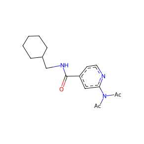 CC(=O)N(C(C)=O)c1cc(C(=O)NCC2CCCCC2)ccn1